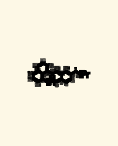 CC(C)Cc1ccc2cnc(-c3cccc4cccc(C(C)C)c34)cc2c1